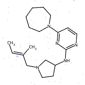 C/C=C(\C)CN1CCC(Nc2nccc(N3CCCCCC3)n2)C1